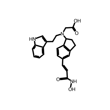 O=C(O)CN(CCc1c[nH]c2ccccc12)C1CCc2cc(C=CC(=O)NO)ccc21